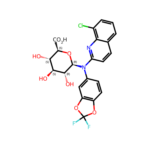 O=C(O)[C@H]1O[C@@H](N(c2ccc3c(c2)OC(F)(F)O3)c2ccc3cccc(Cl)c3n2)[C@H](O)[C@@H](O)[C@@H]1O